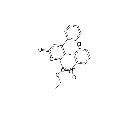 CCOC(=O)c1oc(=O)cc(-c2ccccc2)c1-c1c(Cl)cccc1[N+](=O)[O-]